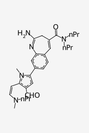 CCCN(C)/C=C\c1c(C=O)cc(-c2ccc3c(c2)N=C(N)CC(C(=O)N(CCC)CCC)=C3)n1C